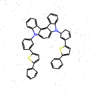 C1=CC(c2ccc(-c3ccccc3)s2)=CC(n2c3ccccc3c3c4c5ccccc5n(-c5cccc(-c6ccc(-c7ccccc7)s6)c5)c4ccc32)C1